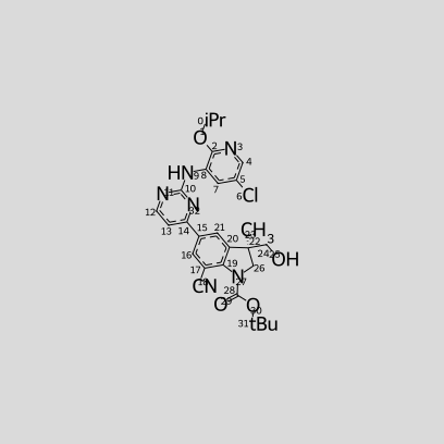 CC(C)Oc1ncc(Cl)cc1Nc1nccc(-c2cc(C#N)c3c(c2)[C@@](C)(CO)CN3C(=O)OC(C)(C)C)n1